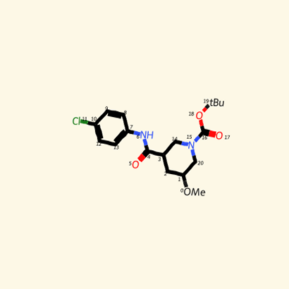 COC1CC(C(=O)Nc2ccc(Cl)cc2)CN(C(=O)OC(C)(C)C)C1